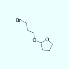 BrCCCOC1CCCO1